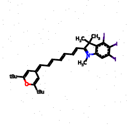 C[N+]1=C(/C=C/C=C/C=C/C=C2C=C(C(C)(C)C)OC(C(C)(C)C)=C2)C(C)(C)c2c1cc(I)c(I)c2I